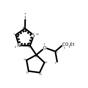 CCOC(=O)C(C)OC1(c2ncc(I)s2)CCCC1